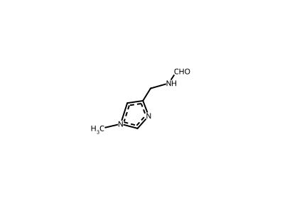 Cn1cnc(CNC=O)c1